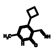 Cc1cc(C2CCC2)c(C=N)c(=O)[nH]1